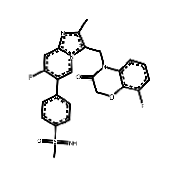 Cc1nc2cc(F)c(-c3ccc(S(C)(=N)=O)cc3)cn2c1CN1C(=O)COc2c(F)cccc21